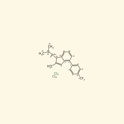 CC1=Cc2c(-c3ccc(C(F)(F)F)cc3)cccc2[CH]1[Zr+2][Si](C)C.[Cl-].[Cl-]